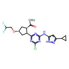 COC(=O)[C@@H]1C[C@H](OCC(F)F)CC1c1nc(Cl)nc(Nc2cc(C3CC3)n[nH]2)n1